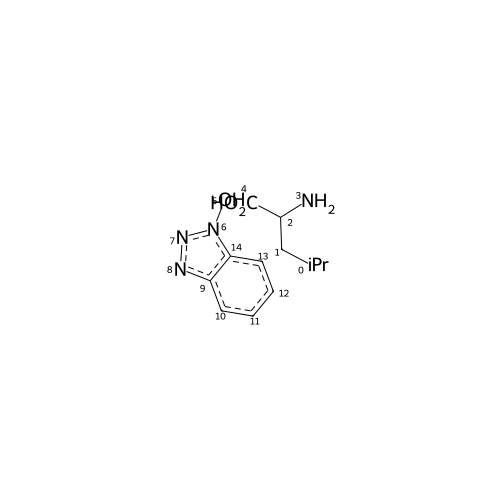 CC(C)CC(N)C(=O)O.On1nnc2ccccc21